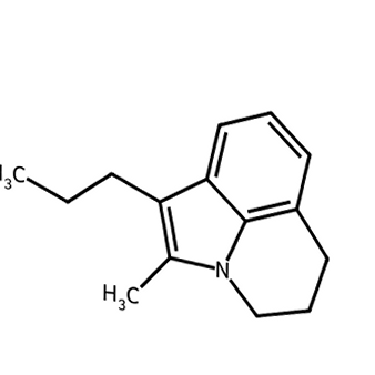 CCCc1c(C)n2c3c(cccc13)CCC2